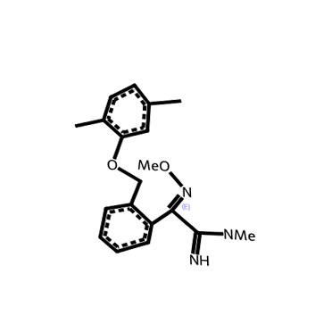 CNC(=N)/C(=N/OC)c1ccccc1COc1cc(C)ccc1C